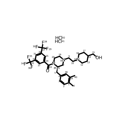 Cc1ccc(C[C@@H]2CN(CCN3CCC(CO)CC3)CCN2C(=O)c2cc(C(F)(F)F)cc(C(F)(F)F)c2)cc1C.Cl.Cl